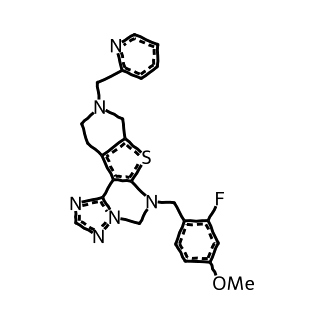 COc1ccc(CN2Cn3ncnc3-c3c2sc2c3CCN(Cc3ccccn3)C2)c(F)c1